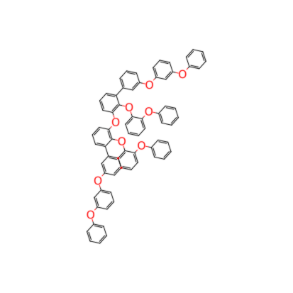 c1ccc(Oc2cccc(Oc3cccc(-c4cccc(Oc5cccc(-c6cccc(Oc7cccc(Oc8ccccc8)c7)c6)c5Oc5ccccc5Oc5ccccc5)c4Oc4ccccc4Oc4ccccc4)c3)c2)cc1